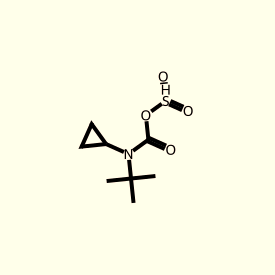 CC(C)(C)N(C(=O)O[SH](=O)=O)C1CC1